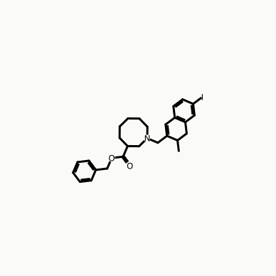 CC1Cc2cc(I)ccc2C=C1CN1CCCCCC(C(=O)OCc2ccccc2)C1